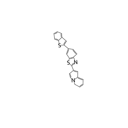 C1=CCN2C=CC(c3nc4ccc(-c5cc6ccccc6s5)cc4s3)=CC2=C1